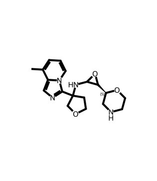 Cc1cccn2c(C3(NC4OC4[C@@H]4CNCCO4)CCOC3)ncc12